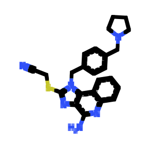 N#CCSc1nc2c(N)nc3ccccc3c2n1Cc1ccc(CN2CCCC2)cc1